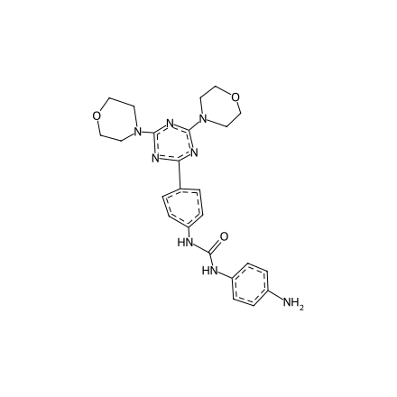 Nc1ccc(NC(=O)Nc2ccc(-c3nc(N4CCOCC4)nc(N4CCOCC4)n3)cc2)cc1